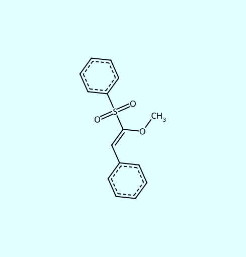 CO/C(=C\c1ccccc1)S(=O)(=O)c1ccccc1